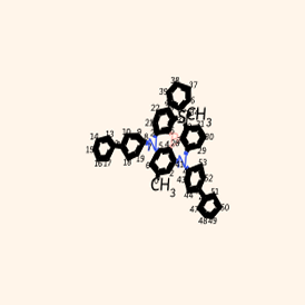 Cc1cc2c3c(c1)N(c1ccc(-c4ccccc4)cc1)c1cccc4c1B3c1c(cccc1[Si]4(C)c1ccccc1)N2c1ccc(-c2ccccc2)cc1